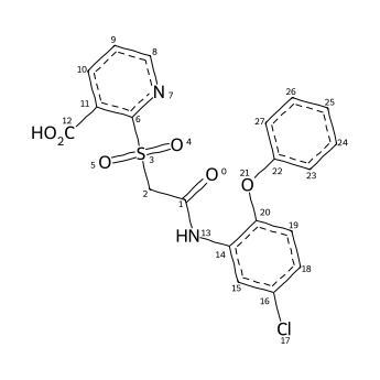 O=C(CS(=O)(=O)c1ncccc1C(=O)O)Nc1cc(Cl)ccc1Oc1ccccc1